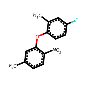 Cc1cc(F)ccc1Oc1cc(C(F)(F)F)ccc1[N+](=O)[O-]